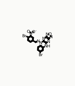 O=[N+]([O-])c1cc(/C=N/Nc2nc3nonc3nc2Nc2cccc(Br)c2)ccc1Br